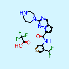 O=C(Nc1cscc1C(F)F)c1ccc2cnc(N3CCCNCC3)nn12.O=C(O)C(F)(F)F